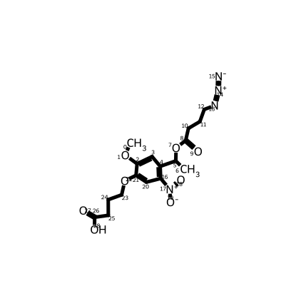 COc1cc(C(C)OC(=O)CCCN=[N+]=[N-])c([N+](=O)[O-])cc1OCCCC(=O)O